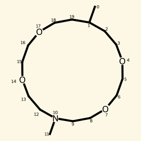 CC1CCOCCOCCN(C)CCOCCOCC1